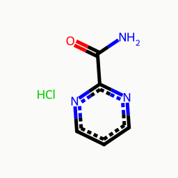 Cl.NC(=O)c1ncccn1